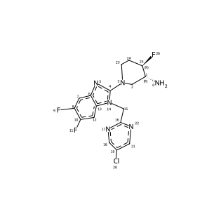 N[C@@H]1CN(c2nc3cc(F)c(F)cc3n2Cc2ncc(Cl)cn2)CC[C@H]1F